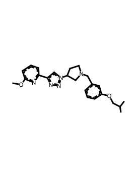 COc1cccc(-c2cn(C3CCN(Cc4cccc(OCC(C)C)c4)C3)nn2)n1